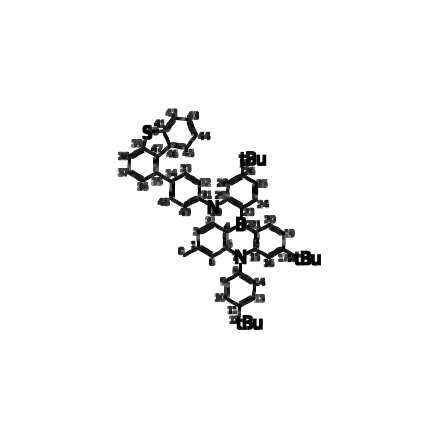 Cc1cc2c3c(c1)N(c1ccc(C(C)(C)C)cc1)c1cc(C(C)(C)C)ccc1B3c1ccc(C(C)(C)C)cc1N2c1ccc(-c2cccc3sc4ccccc4c23)cc1